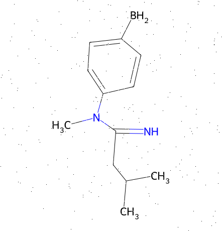 Bc1ccc(N(C)C(=N)CC(C)C)cc1